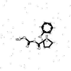 CC(C)(C)OC(=O)OC(=O)[C@]1(Oc2ccccc2)CCCN1